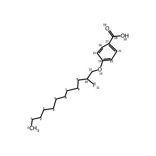 CCCCCCCCCCC(F)COc1ccc(C(=O)O)cc1